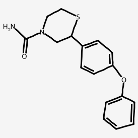 NC(=O)N1CCSC(c2ccc(Oc3ccccc3)cc2)C1